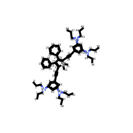 CCCN(CCC)c1cc(C#CC2=C(c3ccccc3)C(c3ccccc3)=C(C#Cc3cc(N(CCC)CCC)cc(N(CCC)CCC)c3)[Si]2(C)C)cc(N(CCC)CCC)c1